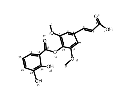 COc1cc(C=CC(=O)O)cc(OC)c1OC(=O)c1cccc(O)c1O